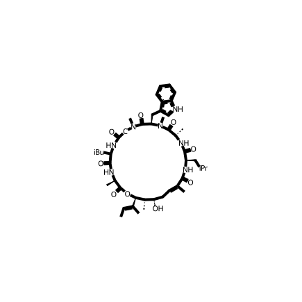 C/C=C(\C)[C@H]1OC(=O)[C@@H](C)NC(=O)C(C(C)CC)NC(=O)CN(C)C(=O)[C@@H](Cc2c[nH]c3ccccc23)N(C)C(=O)[C@H](C)NC(=O)[C@@H](CC(C)C)NC(=O)/C(C)=C/C[C@H](O)[C@@H]1C